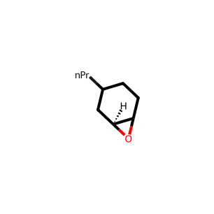 CCCC1CCC2O[C@H]2C1